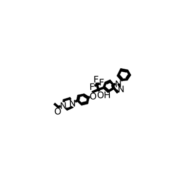 CC(=O)N1CCN(c2ccc(OCC(O)(c3ccc4c(cnn4-c4ccccc4)c3)C(F)(F)F)cc2)CC1